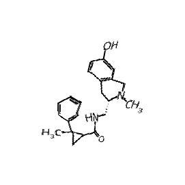 CN1Cc2cc(O)ccc2C[C@H]1CNC(=O)C1C[C@]1(C)c1ccccc1